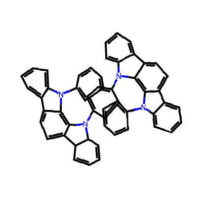 C1=CC2c3ccc4c5ccccc5n(-c5ccccc5)c4c3N(c3ccc(-n4c5ccccc5c5ccc6c7ccccc7n(-c7ccccc7)c6c54)cc3)C2C=C1